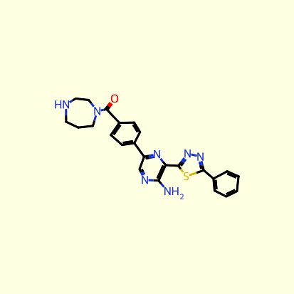 Nc1ncc(-c2ccc(C(=O)N3CCCNCC3)cc2)nc1-c1nnc(-c2ccccc2)s1